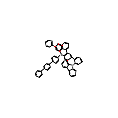 c1ccc(-c2ccc(-c3ccc(N(c4cccc(-c5ccccc5)c4)c4ccc(-c5ccccc5-n5c6ccccc6c6ccccc65)cc4-c4cccc5ccccc45)cc3)cc2)cc1